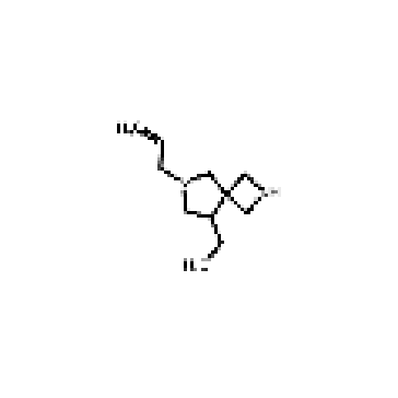 C=CCN1CC(CC)C2(CNC2)C1